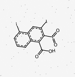 O=C(O)c1c(I(=O)=O)c(I)cc2c(I)cccc12